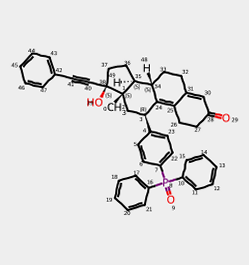 C[C@]12C[C@H](c3ccc(P(=O)(c4ccccc4)c4ccccc4)cc3)C3=C4CCC(=O)C=C4CC[C@H]3[C@@H]1CC[C@@]2(O)C#Cc1ccccc1